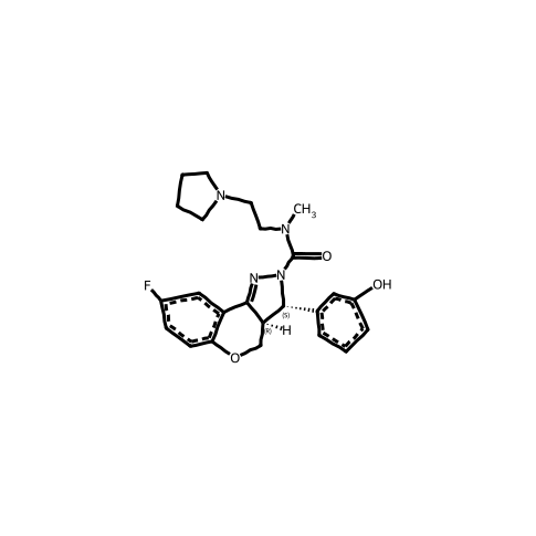 CN(CCN1CCCC1)C(=O)N1N=C2c3cc(F)ccc3OC[C@@H]2[C@H]1c1cccc(O)c1